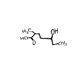 CCC(O)CCC(C)C(=O)O